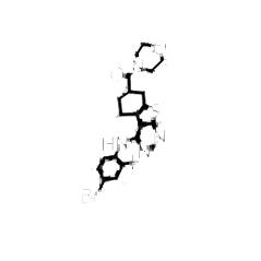 O=C(C1CCc2c(sc3ncnc(Nc4ccc(Br)cc4F)c23)C1)N1CCOCC1